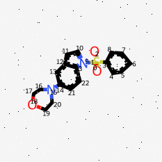 O=S(=O)(c1ccccc1)n1ccc2cc(N3CCOCC3)ccc21